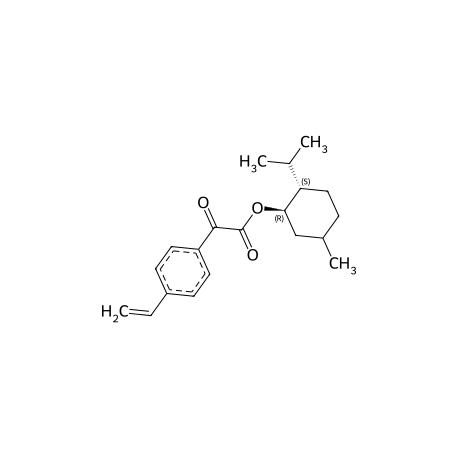 C=Cc1ccc(C(=O)C(=O)O[C@@H]2CC(C)CC[C@H]2C(C)C)cc1